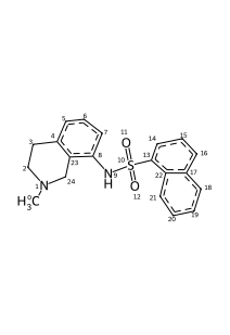 CN1CCc2cccc(NS(=O)(=O)c3cccc4ccccc34)c2C1